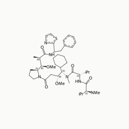 CN[C@H](C(=O)N[C@H](C(=O)N(C)[C@@H](C1CCCCC1)[C@@H](CC(=O)N1CCC[C@H]1[C@H](OC)[C@@H](C)C(=O)NC(Cc1ccccc1)c1nccs1)OC)C(C)C)C(C)C